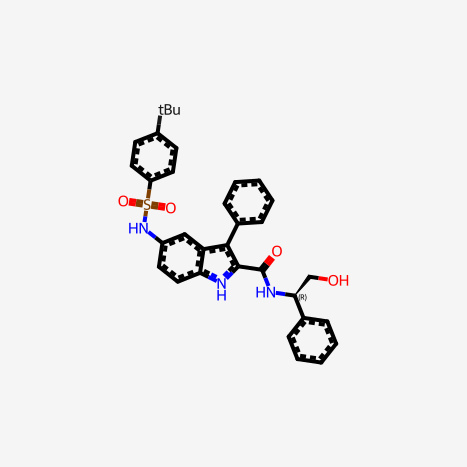 CC(C)(C)c1ccc(S(=O)(=O)Nc2ccc3[nH]c(C(=O)N[C@@H](CO)c4ccccc4)c(-c4ccccc4)c3c2)cc1